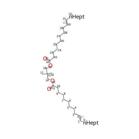 CCCCCCC/C=C/CCCCCCCCC(=O)OCC(C)(C)COC(=O)CCCCCCCC/C=C/CCCCCCC